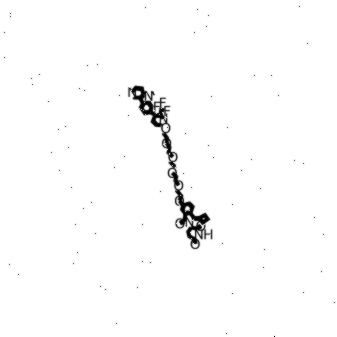 Cn1c2ccncc2c2ccc(-c3ccc(OCCOCCOCCOCCOCCOc4ccc5c(c4)C(=O)N(C4CCC(=O)NC4=O)C5=C4CCC4)nc3C(F)(F)F)cc21